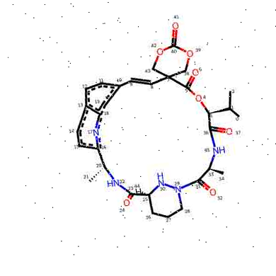 CC(C)[C@@H]1OC(=O)C2(/C=C/c3ccc4ccc(nc4c3)[C@@H](C)NC(=O)[C@@H]3CCCN(N3)C(=O)[C@H](C)NC1=O)COC(=O)OC2